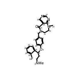 CNCCC(Oc1ccc(CN2CCN(C)c3ncncc3C2=O)cc1)c1ccccc1F